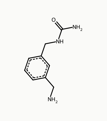 NCc1cccc(CNC(N)=O)c1